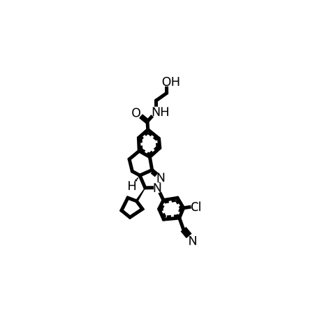 N#Cc1ccc(N2N=C3c4ccc(C(=O)NCCO)cc4CC[C@@H]3[C@@H]2C2CCCC2)cc1Cl